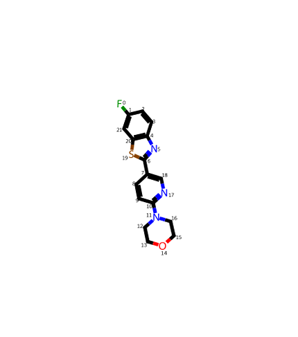 Fc1ccc2nc(-c3ccc(N4CCOCC4)nc3)sc2c1